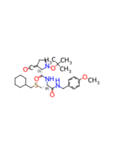 COc1ccc(CNC(=O)[C@H](CSCC2CCCCC2)NC(=O)[C@@H]2C(=C=O)CCN2OC(C)(C)C)cc1